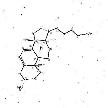 CC(C)CCC[C@@H](C)[C@H]1CC[C@H]2C3=CC=C4C[C@@H](O)CC[C@@]4(C)[C@@H]3CC[C@]12C